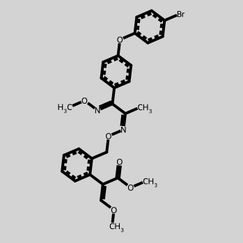 COC=C(C(=O)OC)c1ccccc1CON=C(C)C(=NOC)c1ccc(Oc2ccc(Br)cc2)cc1